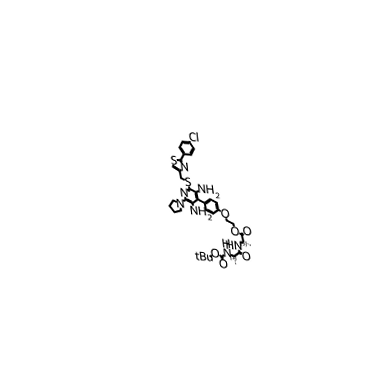 C[C@H](NC(=O)OC(C)(C)C)C(=O)N[C@@H](C)C(=O)OCCOc1ccc(-c2c(N)c(SCc3csc(-c4ccc(Cl)cc4)n3)nc(N3CCCC3)c2N)cc1